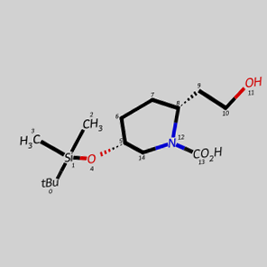 CC(C)(C)[Si](C)(C)O[C@@H]1CC[C@H](CCO)N(C(=O)O)C1